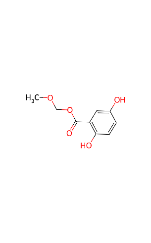 COCOC(=O)c1cc(O)ccc1O